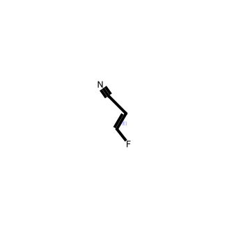 N#C/C=C/F